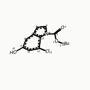 CC(C)(C)OC(=O)n1ccc2cc(O)cc(Cl)c21